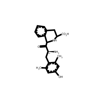 Cc1cc(O)cc(C)c1C[C@H](N)C(=O)C1NC(C(=O)O)Cc2ccccc21